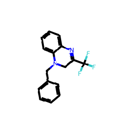 FC(F)(F)C1=Nc2ccccc2N(Cc2ccccc2)C1